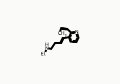 C/C=C\c1ncccc1/C=C/CCNCC